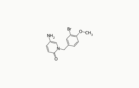 COc1ccc(Cn2cc(N)ccc2=O)cc1Br